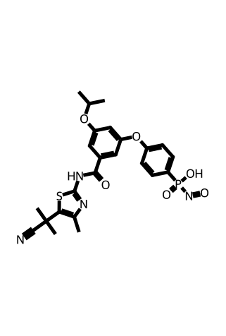 Cc1nc(NC(=O)c2cc(Oc3ccc(P(=O)(O)N=O)cc3)cc(OC(C)C)c2)sc1C(C)(C)C#N